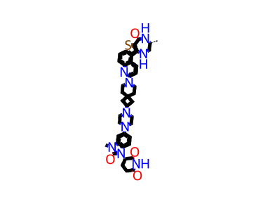 C[C@@H]1CNc2c(sc3ccc4nc(N5CCC6(CC5)CC(N5CCN(c7ccc8c(c7)n(C)c(=O)n8C7CCC(=O)NC7=O)CC5)C6)ccc4c23)C(=O)N1